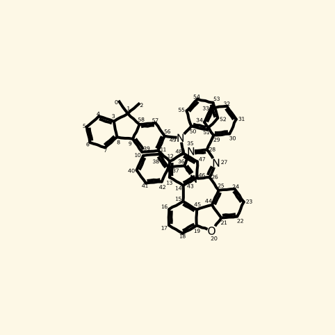 CC1(C)c2ccccc2-c2cc3c4cc(-c5cccc6oc7cccc(-c8nc(-c9ccccc9)nc(-c9ccccc9)n8)c7c56)ccc4n(-c4ccccc4)c3cc21